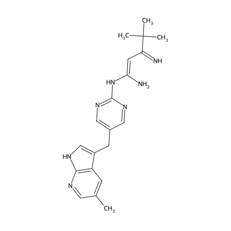 Cc1cnc2[nH]cc(Cc3cnc(N/C(N)=C/C(=N)C(C)(C)C)nc3)c2c1